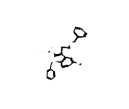 COc1ccc2c(c1)c(CC(=O)OCc1ccccc1)c([S+](C)[O-])n2Cc1ccccc1